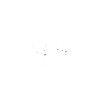 CC(C)(I)C(=O)NC(CO)(CO)CO